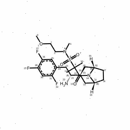 COCCN(C)S(=O)(=O)C(C)(C)C(=O)N1[C@@H]2CC[C@H]1C[C@H]([C@H](N)Cc1cc(F)c(F)cc1F)C2